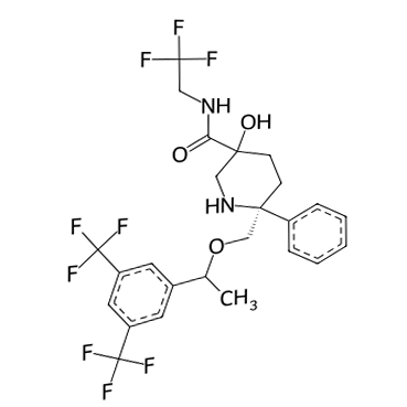 CC(OC[C@@]1(c2ccccc2)CCC(O)(C(=O)NCC(F)(F)F)CN1)c1cc(C(F)(F)F)cc(C(F)(F)F)c1